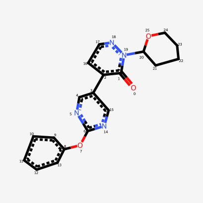 O=c1c(-c2cnc(Oc3ccccc3)nc2)ccnn1C1CCCCO1